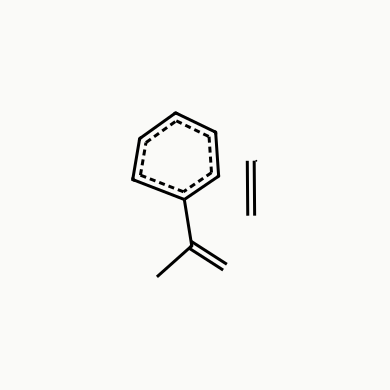 C=C(C)c1ccccc1.[CH]=C